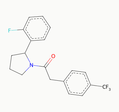 O=C(Cc1ccc(C(F)(F)F)cc1)N1CCCC1c1ccccc1F